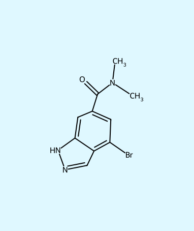 CN(C)C(=O)c1cc(Br)c2cn[nH]c2c1